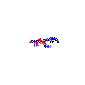 CC(C)c1ccccc1C1CN(Cc2ccc(N(C)C)cc2)CCN1C1CC2(CCN(c3ccc(C(=O)NS(=O)(=O)c4ccc(NCC5CCC(C)(O)CC5)c([N+](=O)[O-])c4)c(Oc4cnc5[nH]ccc5c4)c3)CC2)C1